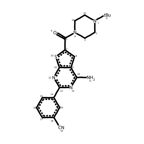 CC(C)(C)N1CCN(C(=O)c2cc3c(N)nc(-c4cccc(C#N)c4)nc3s2)CC1